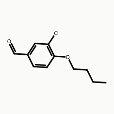 CCCCOc1ccc(C=O)cc1Cl